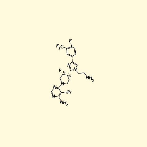 CC(C)c1c(N)ncnc1N1CC[C@@H](c2nc(-c3ccc(F)c(C(F)(F)F)c3)cn2CCN)[C@@H](F)C1